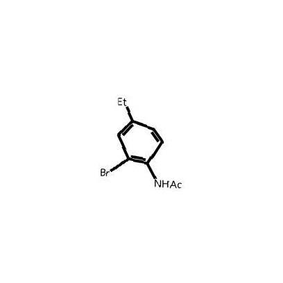 CCc1ccc(NC(C)=O)c(Br)c1